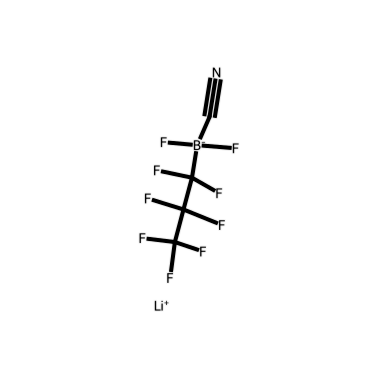 N#C[B-](F)(F)C(F)(F)C(F)(F)C(F)(F)F.[Li+]